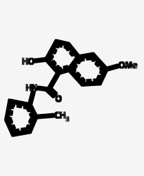 COc1ccc2c(C(=O)Nc3ccccc3C)c(O)ccc2c1